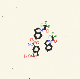 O=C(N1CCc2cc(S(=O)(=O)Nc3ccc4c(c3)B(O)OC4)ccc21)C(F)(F)F.O=C(N1CCc2ccccc21)C(F)(F)F